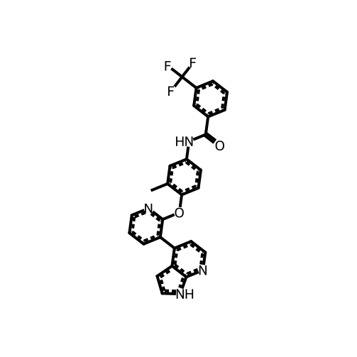 Cc1cc(NC(=O)c2cccc(C(F)(F)F)c2)ccc1Oc1ncccc1-c1ccnc2[nH]ccc12